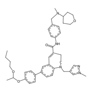 CCCCOC(C)Oc1ccc(-c2ccc3c(c2)C=C(C(=O)Nc2ccc(CN(C)C4CCOCC4)cc2)CCN3Cc2cnn(C)c2)cc1